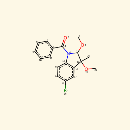 COC1N(C(=O)c2ccccc2)c2ccc(Br)cc2C1(C)OC